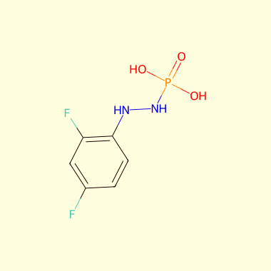 O=P(O)(O)NNc1ccc(F)cc1F